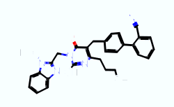 CCCCc1nc(C)n(Cc2nc3ccccc3n2C)c(=O)c1Cc1ccc(-c2ccccc2C#N)cc1